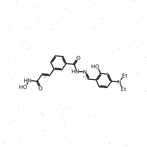 CCN(CC)c1ccc(/C=N/NC(=O)c2cccc(/C=C/C(=O)NO)c2)c(O)c1